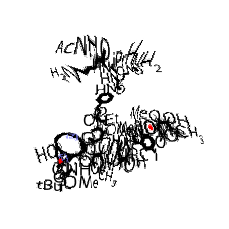 CCN(C(=O)OCc1ccc(NC(=O)[C@H](CCCNC(N)=O)NC(=O)[C@@H](NC(=O)[C@H](CCCCN)NC(C)=O)C(C)C)cc1)[C@H]1CO[C@@H](O[C@H]2[C@H](O[C@H]3C#C/C=C\C#C[C@]4(O)CC(=O)C(NC(=O)OC)=C3/C4=C\CSSC(C)(C)C)O[C@H](C)[C@@H](NO[C@H]3C[C@H](O)[C@H](SC(=O)c4c(C)c(I)c(O[C@@H]5O[C@@H](C)[C@H](O)[C@@H](OC)[C@H]5O)c(OC)c4OC)[C@@H](C)O3)[C@@H]2O)C[C@@H]1OC